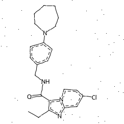 CCc1nc2cc(Cl)ccn2c1C(=O)NCc1ccc(N2CCCCCC2)cc1